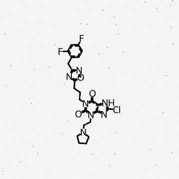 O=c1c2[nH]c(Cl)nc2n(CCN2CCCC2)c(=O)n1CCCc1nc(Cc2ccc(F)cc2F)no1